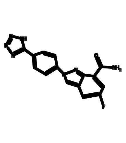 NC(=O)c1cc(F)cc2cn(-c3ccc(-c4nnn[nH]4)cc3)nc12